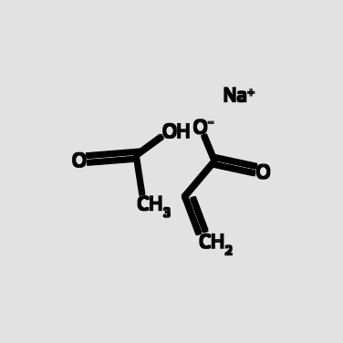 C=CC(=O)[O-].CC(=O)O.[Na+]